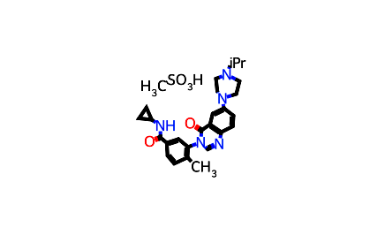 CS(=O)(=O)O.Cc1ccc(C(=O)NC2CC2)cc1-n1cnc2ccc(N3CCN(C(C)C)CC3)cc2c1=O